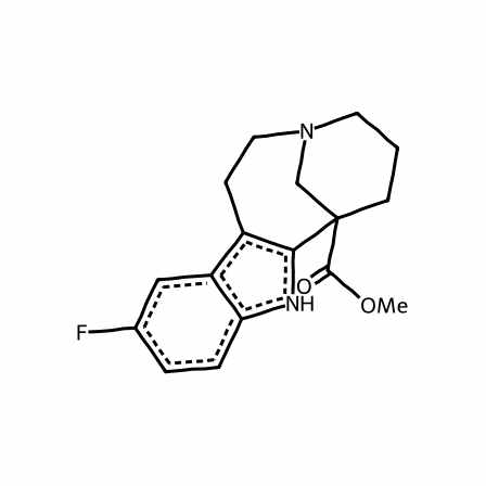 COC(=O)C12CCCN(CCc3c1[nH]c1ccc(F)cc31)C2